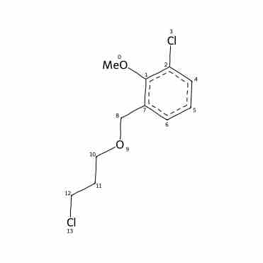 COc1c(Cl)cccc1COCCCCl